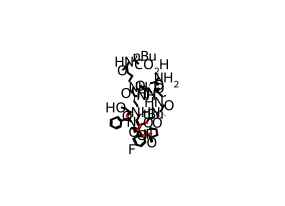 CCCC[C@H](NC1OC1CCNC(=O)[C@H](CCN(C(=O)CO)[C@@H](c1cc(-c2cc(F)ccc2F)cn1Cc1ccccc1)C(C)(C)C)NC(=O)[C@H](CC(N)=O)NC(=O)[C@@H](C)NC(=O)[C@H](C)NC(=O)CCCC(=O)ON1C(=O)CCC1=O)C(=O)O